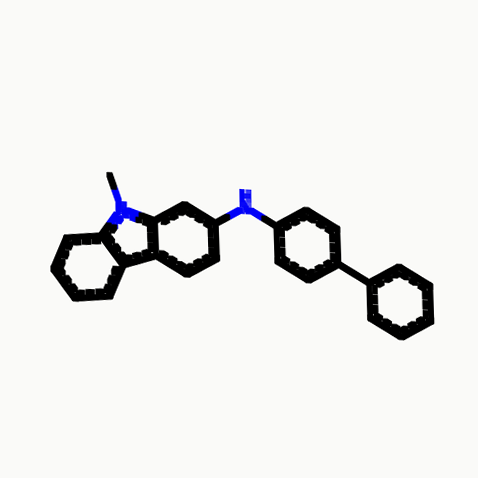 Cn1c2ccccc2c2ccc(Nc3ccc(-c4ccccc4)cc3)cc21